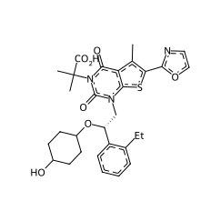 CCc1ccccc1[C@@H](Cn1c(=O)n(C(C)(C)C(=O)O)c(=O)c2c(C)c(-c3ncco3)sc21)OC1CCC(O)CC1